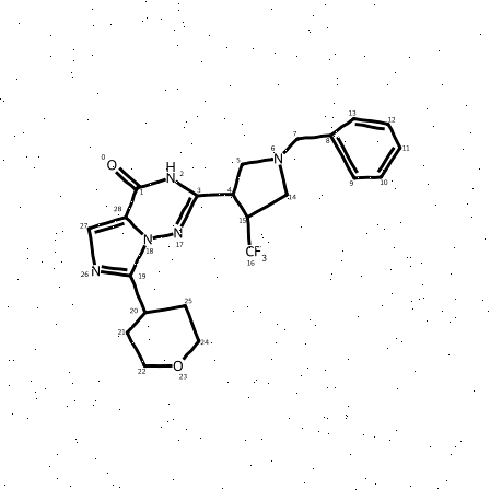 O=c1[nH]c(C2CN(Cc3ccccc3)CC2C(F)(F)F)nn2c(C3CCOCC3)ncc12